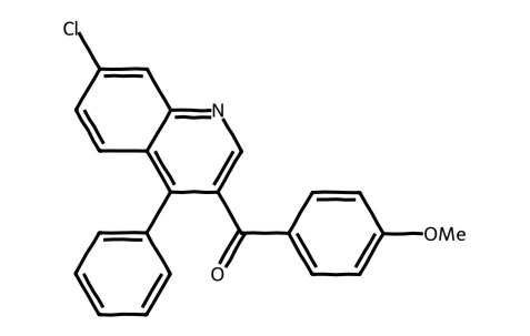 COc1ccc(C(=O)c2cnc3cc(Cl)ccc3c2-c2ccccc2)cc1